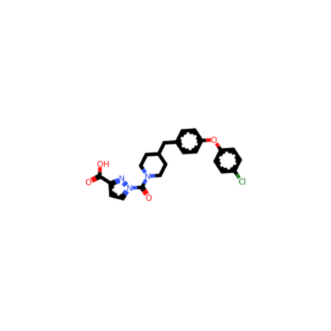 O=C(O)c1ccn(C(=O)N2CCC(Cc3ccc(Oc4ccc(Cl)cc4)cc3)CC2)n1